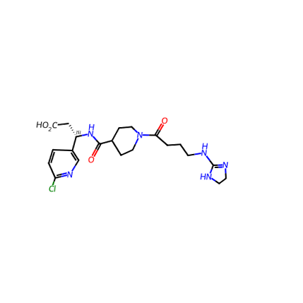 O=C(O)C[C@H](NC(=O)C1CCN(C(=O)CCCNC2=NCCN2)CC1)c1ccc(Cl)nc1